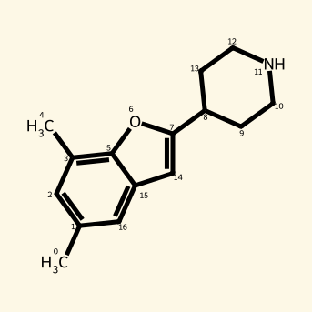 Cc1cc(C)c2oc(C3CCNCC3)cc2c1